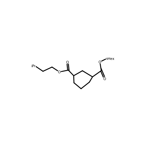 CCCCCCOC(=O)C1CCCC(C(=O)OCCC(C)C)C1